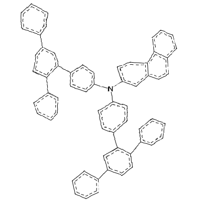 c1ccc(-c2ccc(-c3ccccc3)c(-c3ccc(N(c4ccc(-c5cc(-c6ccccc6)ccc5-c5ccccc5)cc4)c4ccc5c(ccc6ccccc65)c4)cc3)c2)cc1